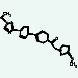 CCn1cnc(-c2ccc(C3=CCN(C(=O)CN4CCC(SC)C4)CC3)cc2)n1